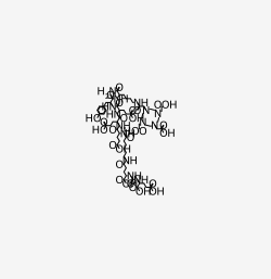 NC(=O)C(CCCCNC(=O)CN1CCN(CC(=O)O)CCN(CC(=O)O)CCN(CC(=O)O)CC1)NC(=O)C(Cc1ccc(O)cc1)NC(=O)C(CCC(=O)O)NC(=O)C(CCC(=O)O)NC(=O)C(CCC(=O)O)NC(=O)CCCCCNC(=O)CCC(NC(=O)NC(CCC(=O)O)C(=O)O)C(=O)O